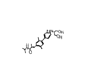 C/C(=C\c1cc(C)c(-c2ccc(NC(CO)CO)cc2)cc1C)C(=O)NC(C)C